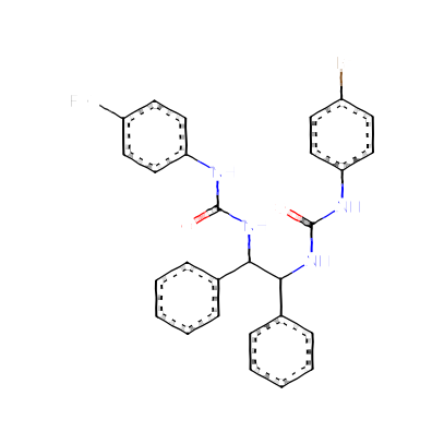 O=C(Nc1ccc(Br)cc1)NC(c1ccccc1)C(NC(=O)Nc1ccc(C(F)(F)F)cc1)c1ccccc1